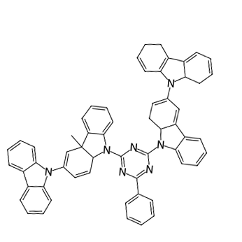 CC12C=C(n3c4ccccc4c4ccccc43)C=CC1N(c1nc(-c3ccccc3)nc(N3c4ccccc4C4=CC(N5C6=C(CCC=C6)C6=CC=CCC65)=CCC43)n1)c1ccccc12